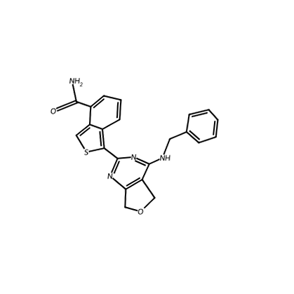 NC(=O)c1cccc2c(-c3nc4c(c(NCc5ccccc5)n3)COC4)scc12